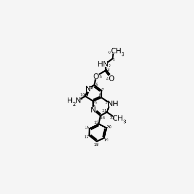 CCNC(=O)Oc1cc2c(c(N)n1)N=C(c1ccccc1)C(C)N2